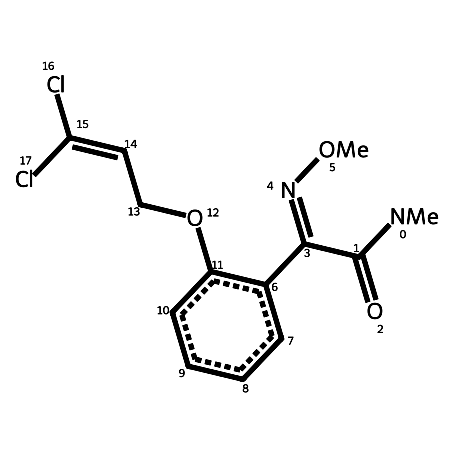 CNC(=O)/C(=N\OC)c1ccccc1OCC=C(Cl)Cl